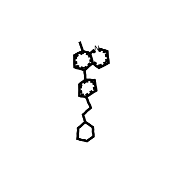 Cc1ccc(-c2ccc(CCC3CCCCC3)cc2)c2cccnc12